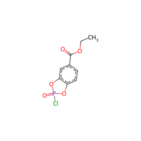 CCOC(=O)c1ccc2c(c1)OP(=O)(Cl)O2